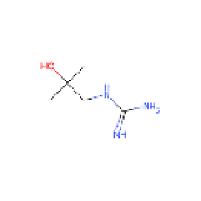 CC(C)(O)CNC(=N)N